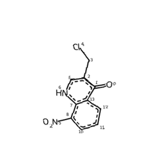 O=c1c(CCl)c[nH]c2c([N+](=O)[O-])cccc12